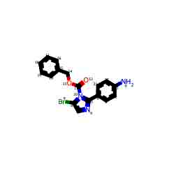 Nc1ccc(-c2ncc(Br)n2C(=O)OCc2ccccc2)cc1